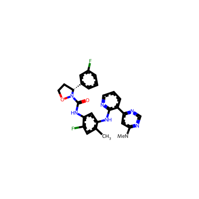 CNc1cc(-c2cccnc2Nc2cc(NC(=O)N3OCC[C@@H]3c3cccc(F)c3)c(F)cc2C)ncn1